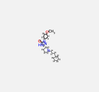 COc1ccc(-n2nc([C@H]3CCCN(CCCC4CCCCC4)C3)[nH]c2=O)cc1